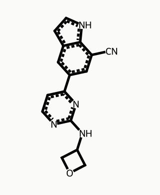 N#Cc1cc(-c2ccnc(NC3COC3)n2)cc2cc[nH]c12